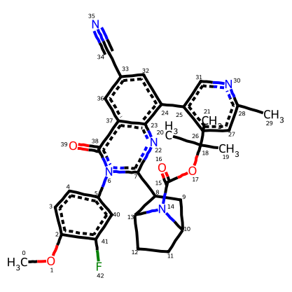 COc1ccc(-n2c(C3CC4CCC3N4C(=O)OC(C)(C)C)nc3c(-c4ccc(C)nc4)cc(C#N)cc3c2=O)cc1F